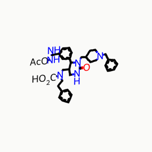 CC(=O)ONC(=N)c1cccc(C2C(CN(CCc3ccccc3)C(=O)O)CNC(=O)N2CC2CCN(Cc3ccccc3)CC2)c1